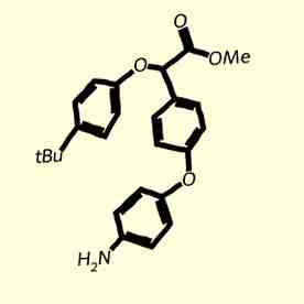 COC(=O)C(Oc1ccc(C(C)(C)C)cc1)c1ccc(Oc2ccc(N)cc2)cc1